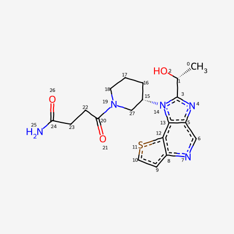 C[C@@H](O)c1nc2cnc3ccsc3c2n1[C@H]1CCCN(C(=O)CCC(N)=O)C1